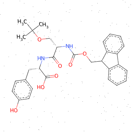 CC(C)(C)OC[C@H](NC(=O)OCC1c2ccccc2-c2ccccc21)C(=O)N[C@@H](Cc1ccc(O)cc1)C(=O)O